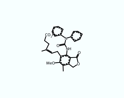 COc1c(C)c2c(c(NC(=O)N(c3ccccc3)c3ccccc3)c1CC=C(C)CCC(=O)O)C(=O)OC2